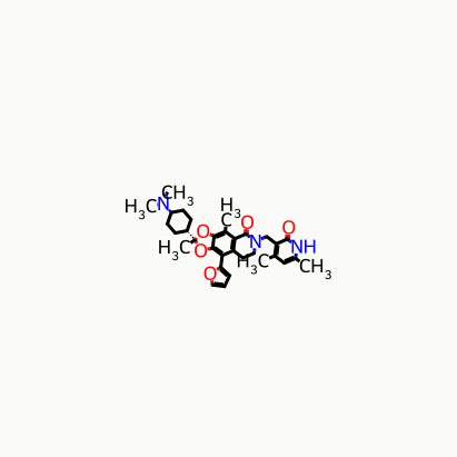 Cc1cc(C)c(CN2CCc3c(c(C)c4c(c3-c3ccco3)OC(C)([C@H]3CC[C@H](N(C)C)CC3)O4)C2=O)c(=O)[nH]1